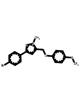 Cn1nc(-c2ccc(Br)cc2)cc1COc1ccc(OC(F)(F)F)cc1